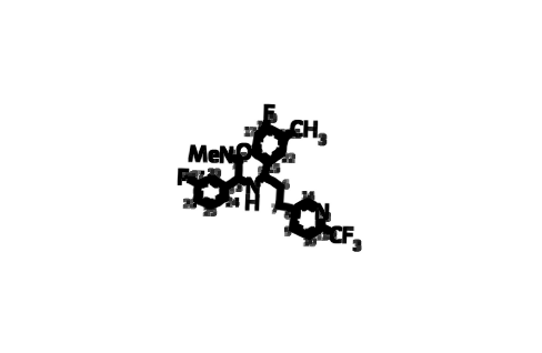 CNC(=O)C(NC(CCc1ccc(C(F)(F)F)nc1)c1ccc(F)c(C)c1)c1cccc(F)c1